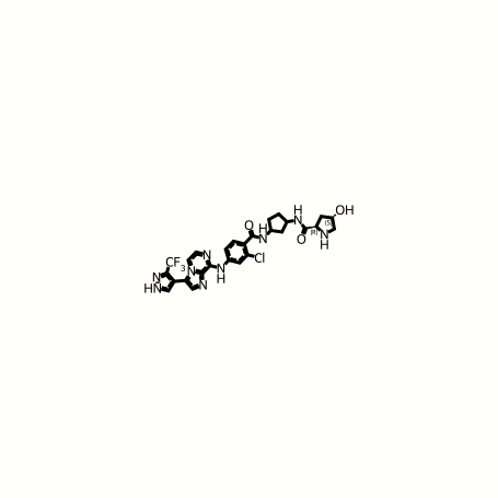 O=C(NC1CCC(NC(=O)[C@H]2C[C@H](O)CN2)C1)c1ccc(Nc2nccn3c(-c4c[nH]nc4C(F)(F)F)cnc23)cc1Cl